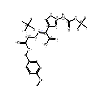 COc1ccc(COC(=O)[C@H](CC(C)(C)C)O/N=C(\C(=O)O)c2csc(NC(=O)OC(C)(C)C)n2)cc1